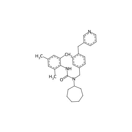 Cc1cc(C)c(NC(=O)N(Cc2ccc(Cc3cccnc3)cc2)C2CCCCCC2)c(C)c1